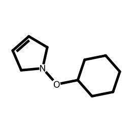 C1=CCN(OC2CCCCC2)C1